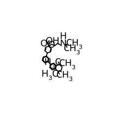 CC(C)NCCCOC1(C(=O)O)C=CC(c2cccc(-c3ccc4c(c3)C(C)(C)CCC4(C)C)c2)C=C1